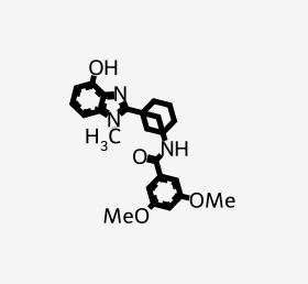 COc1cc(OC)cc(C(=O)NC23CCCC(c4nc5c(O)cccc5n4C)(C2)C3)c1